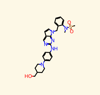 CN(c1ccccc1Cn1ccc2cnc(Nc3ccc(N4CCC(CO)CC4)cc3)nc21)S(C)(=O)=O